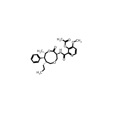 CCC[C@H]1COC[C@H](NC(=O)c2nccc(OC)c2OC(C)=O)C(=O)O[C@@H](C)[C@@H]1c1ccccc1